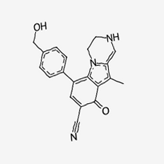 Cc1c2c(n3c1=CNCC3)=C(c1ccc(CO)cc1)C=C(C#N)C2=O